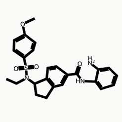 CCN(C1CCc2cc(C(=O)Nc3ccccc3N)ccc21)S(=O)(=O)c1ccc(OC)cc1